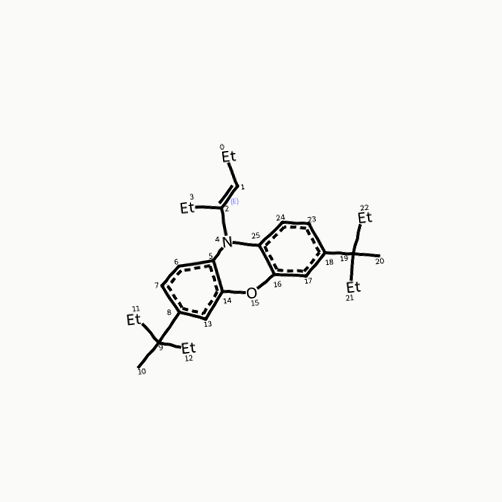 CC/C=C(\CC)N1c2ccc(C(C)(CC)CC)cc2Oc2cc(C(C)(CC)CC)ccc21